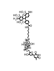 Cc1cn([C@H]2C[C@@H](O)[C@@H](COP(=O)(O)OP(=O)(O)OP(=O)(O)CP(=O)(O)OCCCCCCNC(=O)c3ccc(-c4c5ccc(=N)c(S(=O)(=O)O)c-5oc5c(S(=O)(=O)O)c(N)ccc45)c(C(=O)O)c3)O2)c(=O)[nH]c1=O